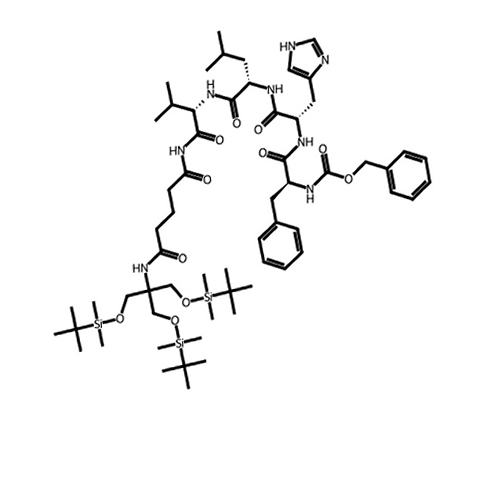 CC(C)C[C@H](NC(=O)[C@H](Cc1c[nH]cn1)NC(=O)[C@H](Cc1ccccc1)NC(=O)OCc1ccccc1)C(=O)N[C@H](C(=O)NC(=O)CCCC(=O)NC(CO[Si](C)(C)C(C)(C)C)(CO[Si](C)(C)C(C)(C)C)CO[Si](C)(C)C(C)(C)C)C(C)C